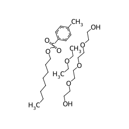 CCCCCCCCOS(=O)(=O)c1ccc(C)cc1.CCOCC.OCCOCCOCCOCCO